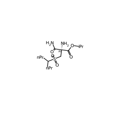 CCCC(CCC)S(=O)(=O)C[C@@](N)(C(N)=O)C(=O)OC(C)C